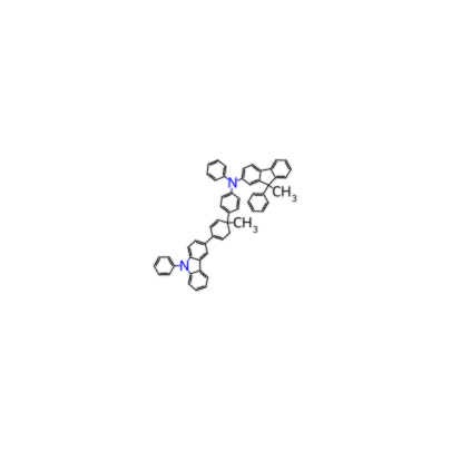 CC1(c2ccc(N(c3ccccc3)c3ccc4c(c3)C(C)(c3ccccc3)c3ccccc3-4)cc2)C=CC(c2ccc3c(c2)c2ccccc2n3-c2ccccc2)=CC1